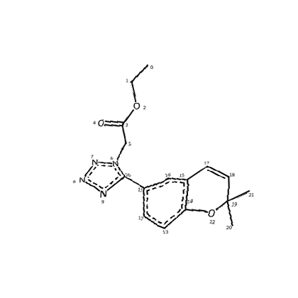 CCOC(=O)Cn1nnnc1-c1ccc2c(c1)C=CC(C)(C)O2